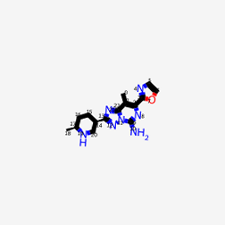 Cc1c(-c2ncco2)nc(N)n2nc([C@@H]3CC[C@H](C)NC3)nc12